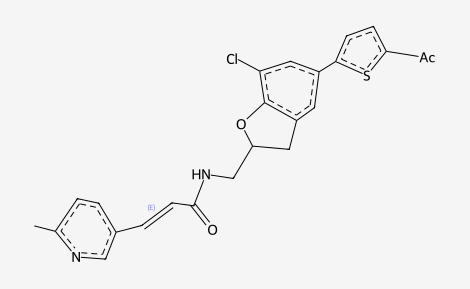 CC(=O)c1ccc(-c2cc(Cl)c3c(c2)CC(CNC(=O)/C=C/c2ccc(C)nc2)O3)s1